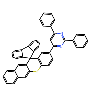 c1ccc(-c2cc(-c3ccc4c(c3)C3(c5cc6ccccc6cc5S4)c4ccccc4-c4ccccc43)nc(-c3ccccc3)n2)cc1